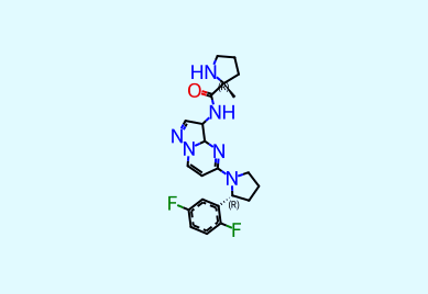 C[C@]1(C(=O)NC2C=NN3C=CC(N4CCC[C@@H]4c4cc(F)ccc4F)=NC23)CCCN1